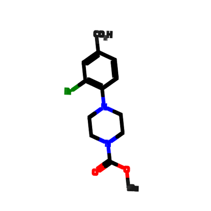 CC(C)(C)OC(=O)N1CCN(c2ccc(C(=O)O)cc2Br)CC1